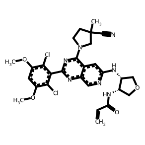 C=CC(=O)N[C@H]1COC[C@H]1Nc1cc2c(N3CCC(C)(C#N)C3)nc(-c3c(Cl)c(OC)cc(OC)c3Cl)nc2cn1